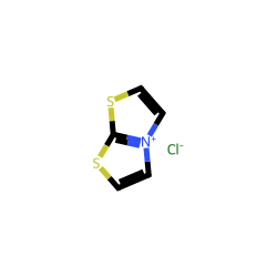 [Cl-].c1c[n+]2ccsc2s1